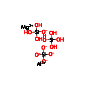 O[Si](O)(O)O.[Al+3].[Mg+2].[O-][Si](O)(O)O.[O-][Si]([O-])([O-])[O-]